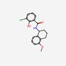 COc1cccc2c1CCCC2NC(=O)c1cccc(Cl)c1O